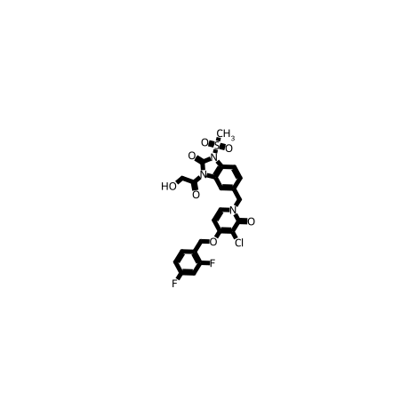 CS(=O)(=O)n1c(=O)n(C(=O)CO)c2cc(Cn3ccc(OCc4ccc(F)cc4F)c(Cl)c3=O)ccc21